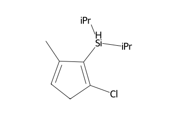 CC1=CCC(Cl)=C1[SiH](C(C)C)C(C)C